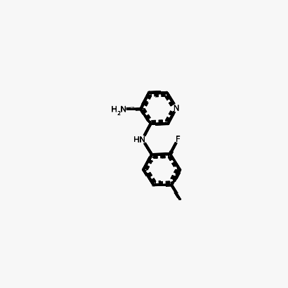 Cc1ccc(Nc2cnccc2N)c(F)c1